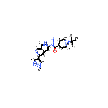 Cn1cc(-c2cc3cc(NC(=O)C4CCN(C(C)(C)C)CC4)ncc3cn2)cn1